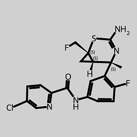 C[C@]1(c2cc(NC(=O)c3ccc(Cl)cn3)ccc2F)N=C(N)S[C@@]2(CF)C[C@H]21